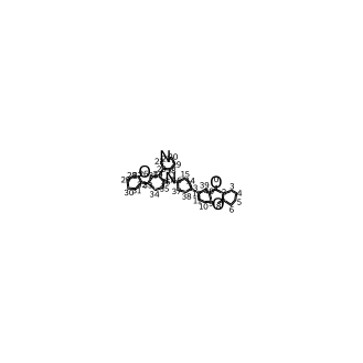 O=c1c2ccccc2oc2ccc(-c3ccc(-n4c5ccncc5c5c6oc7ccccc7c6ccc54)cc3)cc12